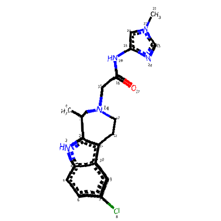 CC1c2[nH]c3ccc(Cl)cc3c2CCN1CC(=O)Nc1cn(C)cn1